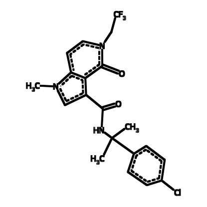 Cn1cc(C(=O)NC(C)(C)c2ccc(Cl)cc2)c2c(=O)n(CC(F)(F)F)ccc21